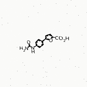 NC(=O)Nc1ccc(-c2ccc(C(=O)O)o2)cc1